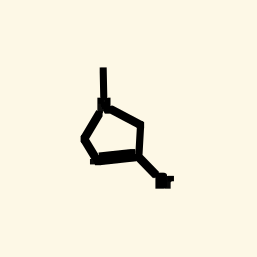 CN1C[C]=C(Br)C1